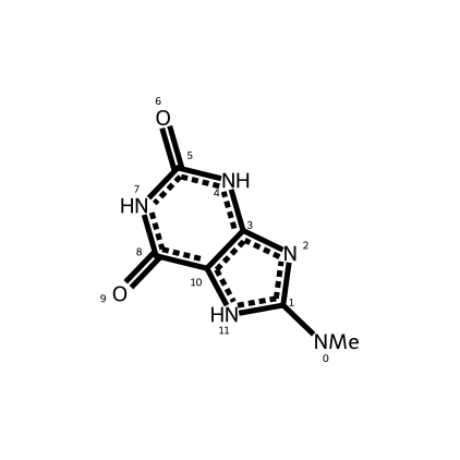 CNc1nc2[nH]c(=O)[nH]c(=O)c2[nH]1